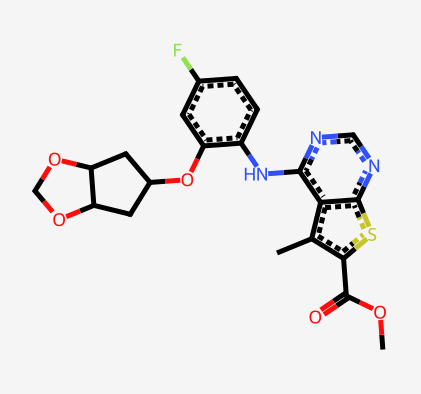 COC(=O)c1sc2ncnc(Nc3ccc(F)cc3OC3CC4OCOC4C3)c2c1C